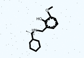 COc1cccc(CN[C@@H](C)C2CCCCC2)c1O